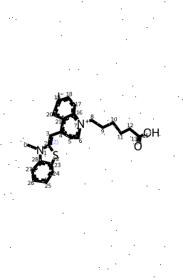 CN1/C(=C/c2cc[n+](CCCCCC(=O)O)c3ccccc23)Sc2ccccc21.[I-]